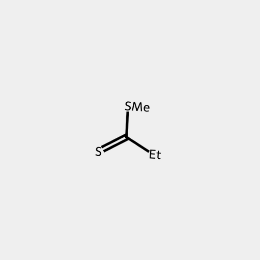 CCC(=S)SC